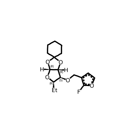 CC[C@H]1O[C@@H]2OC3(CCCCC3)O[C@@H]2[C@H]1OCc1ccoc1F